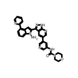 Nn1c(-c2n[nH]c3ncc(-c4cncc(NC(=O)N5CCOCC5)c4)cc23)cc2c(-c3ccccn3)cccc21